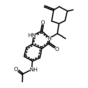 C=C1CC(C)CC(C(C)n2c(=O)[nH]c3ccc(NC(C)=O)cc3c2=O)C1